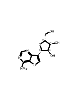 CNc1ncnc2c([C@@H]3O[C@H](CO)[C@@H](O)[C@H]3O)coc12